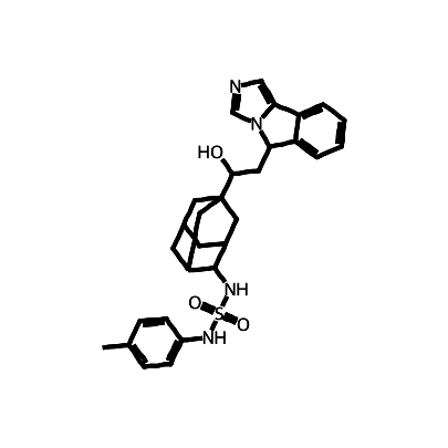 Cc1ccc(NS(=O)(=O)NC2C3CC4CC2CC(C(O)CC2c5ccccc5-c5cncn52)(C4)C3)cc1